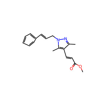 COC(=O)/C=C/c1c(C)nn(CC=Cc2ccccc2)c1C